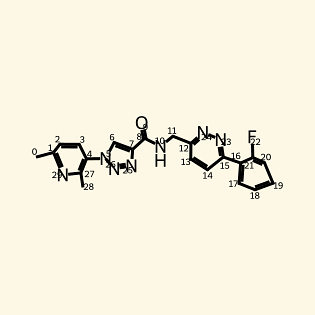 Cc1ccc(-n2cc(C(=O)NCc3ccc(-c4ccccc4F)nn3)nn2)c(C)n1